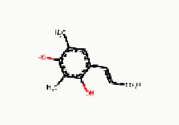 Cc1cc(C=CC(=O)O)c(O)c(C)c1O